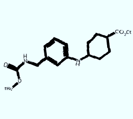 CCOC(=O)C1CCC(Nc2cccc(CNC(=O)OC(C)(C)C)c2)CC1